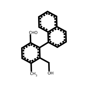 Cc1ccc(C=O)c(-c2cccc3ccccc23)c1CO